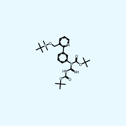 CC(C)(C)OC(=O)NC(=N)N(C(=O)OC(C)(C)C)c1cccc(-c2ncccc2CO[Si](C)(C)C(C)(C)C)c1